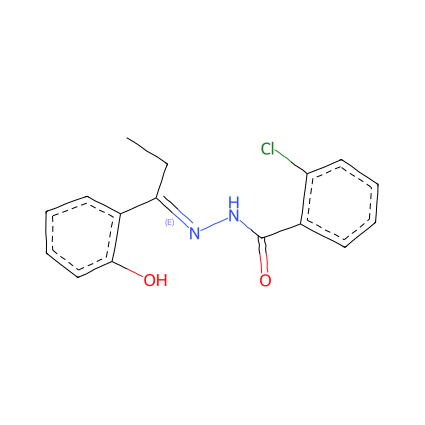 CC/C(=N\NC(=O)c1ccccc1Cl)c1ccccc1O